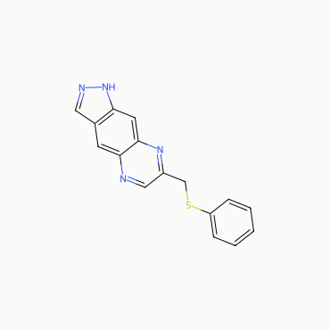 c1ccc(SCc2cnc3cc4cn[nH]c4cc3n2)cc1